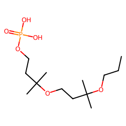 CCCOC(C)(C)CCOC(C)(C)CCOP(=O)(O)O